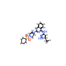 O=S(=O)(C1CCCCC1)N1CC2CC1CN2c1nc(Nc2cc(C3CC3)[nH]n2)c2ccccc2n1